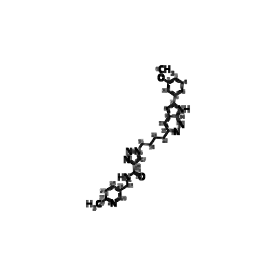 COc1cccc(-c2cc3cc(CCCCn4cc(C(=O)NCc5ccc(C)nc5)nn4)nnc3[nH]2)c1